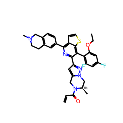 C=CC(=O)N1Cc2cc(-c3nc(-c4ccc5c(c4)CCN(C)C5)c4ccsc4c3-c3c(F)cc(F)cc3OCC)nn2C[C@H]1C